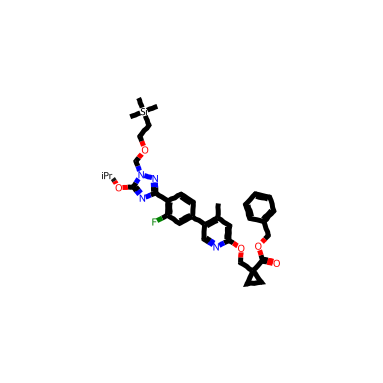 Cc1cc(OCC2(C(=O)OCc3ccccc3)CC2)ncc1-c1ccc(-c2nc(OC(C)C)n(COCC[Si](C)(C)C)n2)c(F)c1